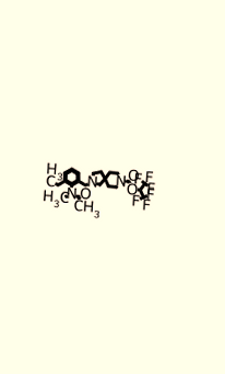 CCc1cccc(CN2CCC3(CCN(C(=O)OC(C(F)(F)F)C(F)(F)F)CC3)C2)c1N(C)C(C)=O